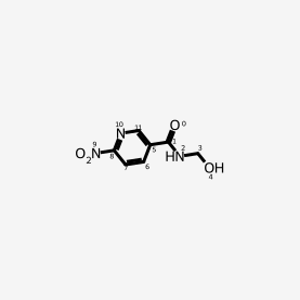 O=C(NCO)c1ccc([N+](=O)[O-])nc1